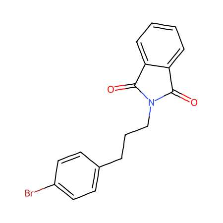 O=C1c2ccccc2C(=O)N1CCCc1ccc(Br)cc1